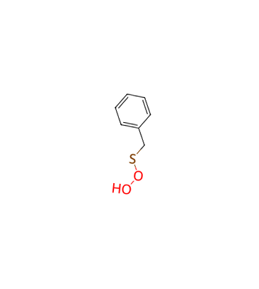 OOSCc1ccccc1